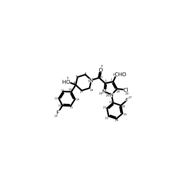 O=Cc1c(C(=O)N2CCC(O)(c3ccc(F)cc3)CC2)nn(-c2ccccc2F)c1Cl